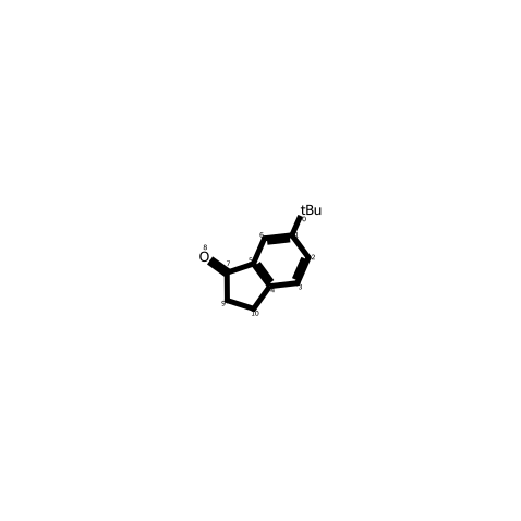 CC(C)(C)c1ccc2c(c1)C(=O)CC2